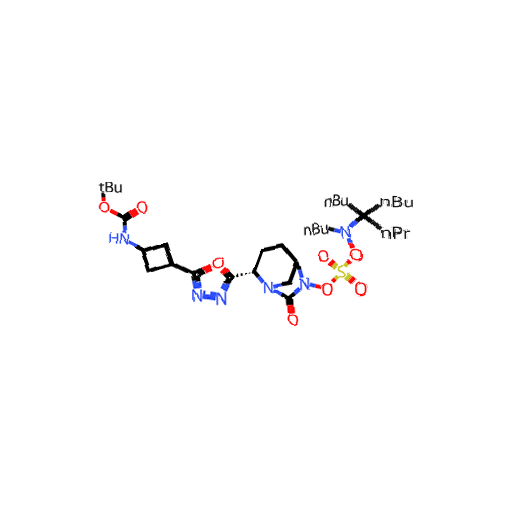 CCCCN(OS(=O)(=O)ON1C(=O)N2CC1CC[C@H]2c1nnc(C2CC(NC(=O)OC(C)(C)C)C2)o1)C(CCC)(CCCC)CCCC